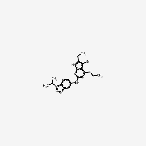 CCOc1nc(Nc2cnc3c(c2)nnn3C(C)C)nc2[nH]c(CC)c(Br)c12